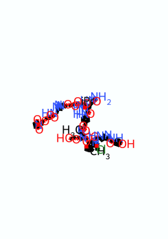 Cc1cccc2c(OC(=O)N(CCOCCO)CCN(C)C(=O)OCc3ccc(NC(=O)[C@H](CCCNC(N)=O)NC(=O)[C@@H](NC(=O)OCCOCCn4cc(CNC(=O)OCCOCCN5C(=O)C=CC5=O)nn4)C(C)C)cc3)cc3c(c12)C(CCl)CN3C(=O)c1cc2cc(NC(=O)c3ccc(O)cc3)ncc2[nH]1